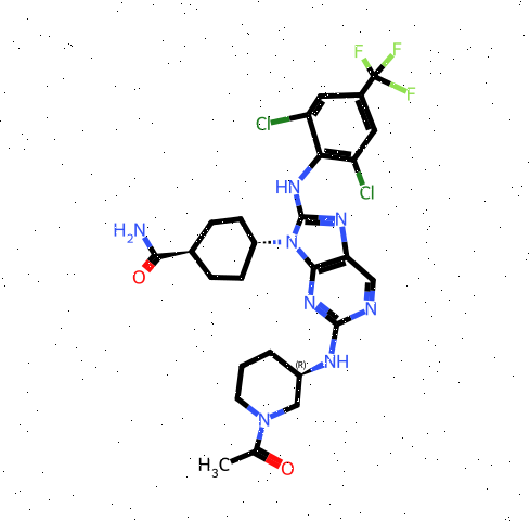 CC(=O)N1CCC[C@@H](Nc2ncc3nc(Nc4c(Cl)cc(C(F)(F)F)cc4Cl)n([C@H]4CC[C@H](C(N)=O)CC4)c3n2)C1